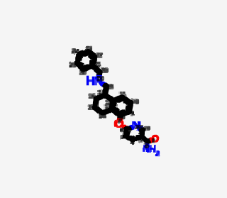 NC(=O)c1ccc(Oc2cccc3c2CCCC3CNCc2ccccc2)nc1